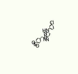 CS(=O)(=O)c1ccc(Cc2nnc3ccc(Nc4cccc(Cl)c4)nn23)cc1